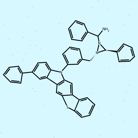 NC(c1ccccc1)N1[C@@H](c2ccccc2)[N@]1Cc1cccc(-n2c3ccc(-c4ccccc4)cc3c3cc4sc5ccccc5c4cc32)c1